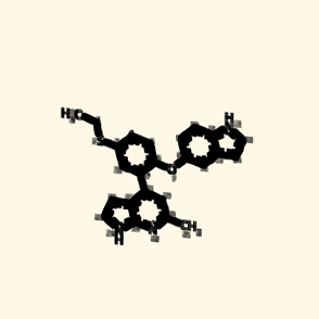 CCSc1ccc(Oc2ccc3[nH]ccc3c2)c(-c2cc(C)nc3[nH]ccc23)c1